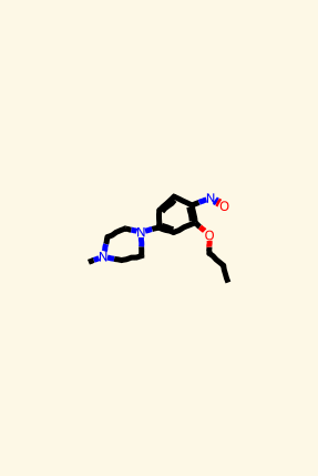 CCCOc1cc(N2CCN(C)CC2)ccc1N=O